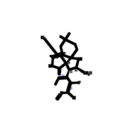 C=N/C(Cl)=C(F)\C(=C/C)[C@H]1[C@H](C(=O)O)NC2(CCC(C)(C)CC2)[C@@]12C(=O)Nc1cc(Cl)ccc12